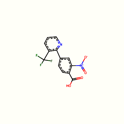 O=C(O)c1ccc(-c2ncccc2C(F)(F)F)cc1[N+](=O)[O-]